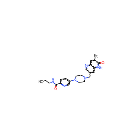 CCc1cc2ncc(CN3CCN(c4ccc(C(=O)NCCC#N)nc4)CC3)cc2[nH]c1=O